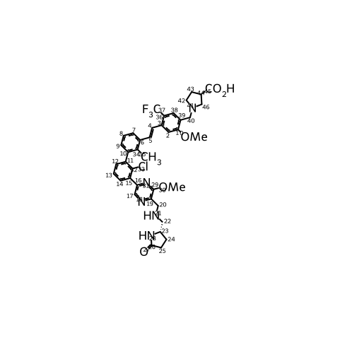 COc1cc(/C=C/c2cccc(-c3cccc(-c4cnc(CNC[C@@H]5CCC(=O)N5)c(OC)n4)c3Cl)c2C)c(C(F)(F)F)cc1CN1CC[C@@H](C(=O)O)C1